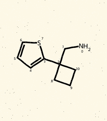 NCC1(c2cccs2)CCC1